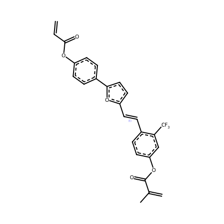 C=CC(=O)Oc1ccc(-c2ccc(/C=C/c3ccc(OC(=O)C(=C)C)cc3C(F)(F)F)o2)cc1